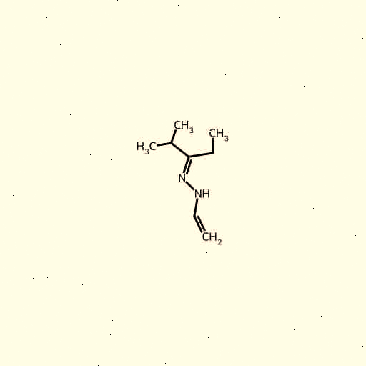 C=CN/N=C(\CC)C(C)C